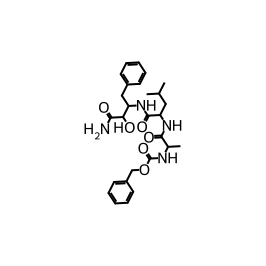 CC(C)CC(NC(=O)C(C)NC(=O)OCc1ccccc1)C(=O)NC(Cc1ccccc1)C(O)C(N)=O